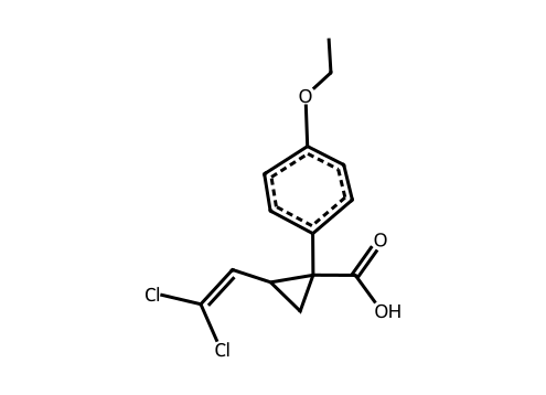 CCOc1ccc(C2(C(=O)O)CC2C=C(Cl)Cl)cc1